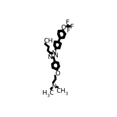 CCCCc1nc(-c2ccc(OCCCN(CC)CC)cc2)nn1-c1ccc(-c2ccc(OC(F)(F)F)cc2)cc1